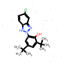 CC(C)(C)c1cc(N2N=C3C=C(Cl)C=CC3N2)c(O)c(C(C)(C)C)c1